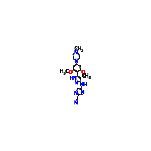 COc1cc(N2CCN(C)CC2)cc(OC)c1-c1cc(Nc2cnc(C#N)cn2)n[nH]1